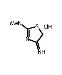 CNC1=NC(=N)CS1.Cl